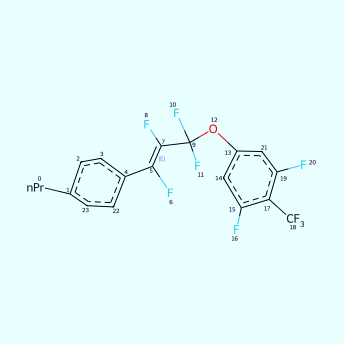 CCCc1ccc(/C(F)=C(\F)C(F)(F)Oc2cc(F)c(C(F)(F)F)c(F)c2)cc1